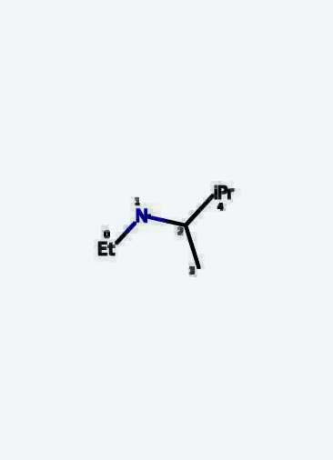 CC[N]C(C)C(C)C